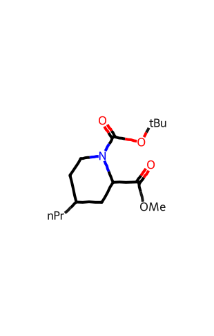 CCCC1CCN(C(=O)OC(C)(C)C)C(C(=O)OC)C1